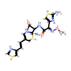 CO/N=C(/C(=O)NC1C(=O)N2C=C(/C=C/c3cscn3)CS[C@H]12)c1csc(N)n1